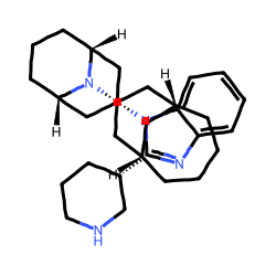 c1ccc2c(c1)nc([C@H]1CCCNC1)n2[C@H]1C[C@H]2CCC[C@@H](C1)N2[C@@H]1C[C@@H]2CCCC[C@@H](C2)C1